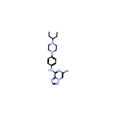 CCC(CC)N1CCN(c2ccc(Nc3nc(Br)cn4ncnc34)cc2)CC1